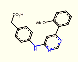 COc1ccccc1-c1cc(Nc2ccc(CC(=O)O)cc2)ncn1